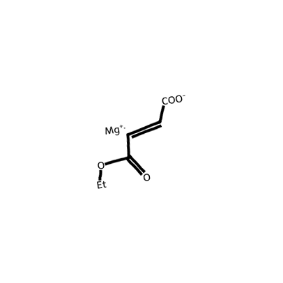 CCOC(=O)/C=C/C(=O)[O-].[Mg+]